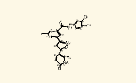 Cc1nc(C(=O)NCc2ccc(F)c(Cl)c2)cc(C2=NOC(c3ccc(=O)[nH]c3C)C2)n1